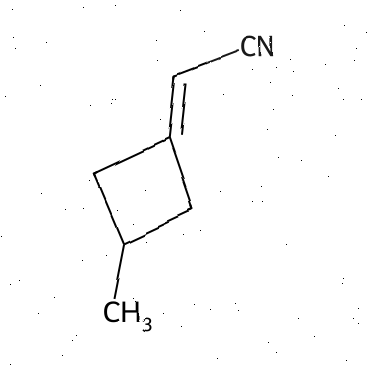 CC1CC(=CC#N)C1